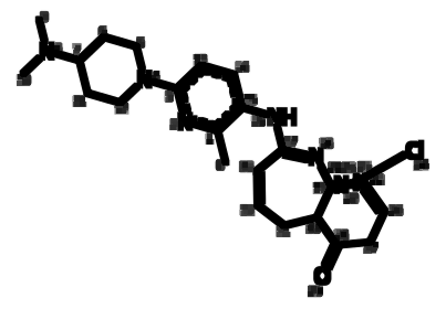 Cc1nc(N2CCC(N(C)C)CC2)ccc1NC1=NC23N=CN=C(Cl)C2=CCC(=O)C3CC=C1